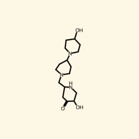 O=C1CC(CN2CCC(N3CCC(O)CC3)CC2)NCC1O